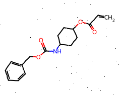 C=CC(=O)OC1CCC(NC(=O)OCc2ccccc2)CC1